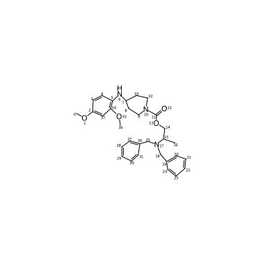 COc1ccc(NC2CCN(C(=O)OCC(C)N(Cc3ccccc3)Cc3ccccc3)CC2)c(OC)c1